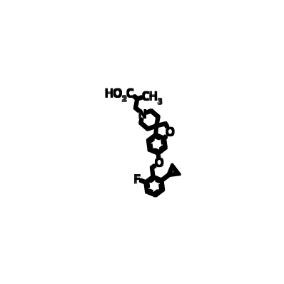 CC(CN1CCC2(CC1)COc1cc(OCc3c(F)cccc3C3CC3)ccc12)C(=O)O